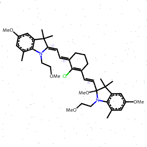 COCCN1/C(=C\C=C2/CCCC(/C=C/C3(OC)N(CCOC)c4c(C)cc(OC)cc4C3(C)C)=C2Cl)C(C)(C)c2cc(OC)cc(C)c21